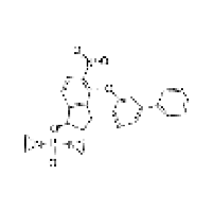 O=[N+]([O-])c1ccc2c(c1Oc1cccc(-c3ccccc3)c1)CC[C@H]2OP(=O)(N1CC1)N1CC1